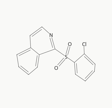 O=S(=O)(c1ccccc1Cl)c1nccc2ccccc12